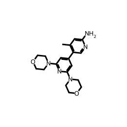 Cc1cc(N)ncc1-c1cc(N2CCOCC2)nc(N2CCOCC2)c1